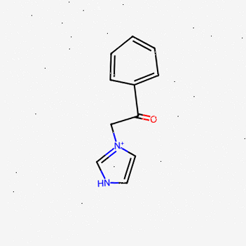 O=C(C[n+]1cc[nH]c1)c1ccccc1